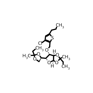 CCCc1cc(Cl)c(CO[C@@H]2[C@H]3OC(C)(CC)O[C@H]3O[C@@H]2[C@H]2COC(C)(CC)O2)s1